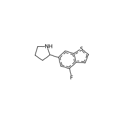 Fc1cc(C2CCCN2)cc2sccc12